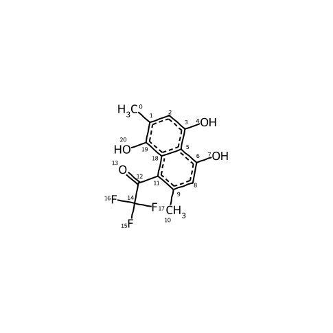 Cc1cc(O)c2c(O)cc(C)c(C(=O)C(F)(F)F)c2c1O